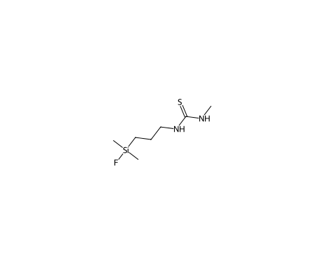 CNC(=S)NCCC[Si](C)(C)F